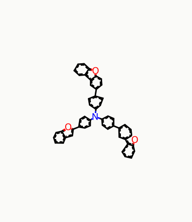 c1ccc2oc(-c3ccc(N(c4ccc(-c5ccc6oc7ccccc7c6c5)cc4)c4ccc(-c5ccc6oc7ccccc7c6c5)cc4)cc3)cc2c1